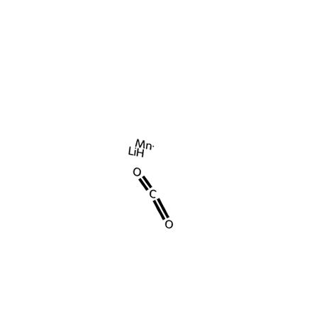 O=C=O.[LiH].[Mn]